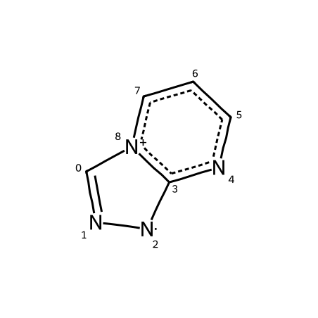 C1=N[N]c2nccc[n+]21